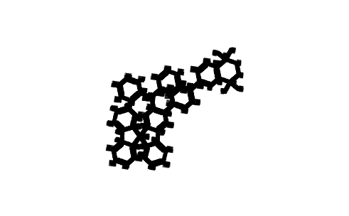 CC1(C)CCC(C)(C)c2cc(-c3ccc(-c4cc5c(cc4N(c4ccccc4)c4ccccc4)C4(c6ccccc6-c6ccccc64)c4ccccc4-5)cc3)ccc21